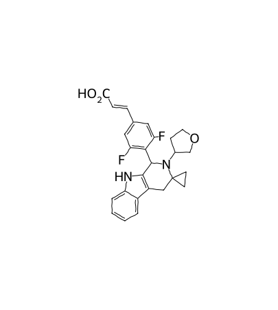 O=C(O)C=Cc1cc(F)c(C2c3[nH]c4ccccc4c3CC3(CC3)N2C2CCOC2)c(F)c1